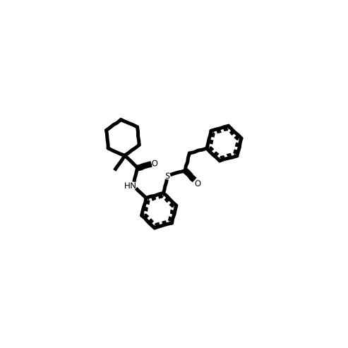 CC1(C(=O)Nc2ccccc2SC(=O)Cc2ccccc2)CCCCC1